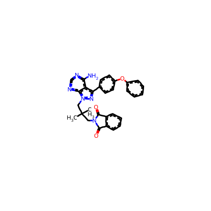 CC(C)(CN1C(=O)c2ccccc2C1=O)Cn1nc(-c2ccc(Oc3ccccc3)cc2)c2c(N)ncnc21